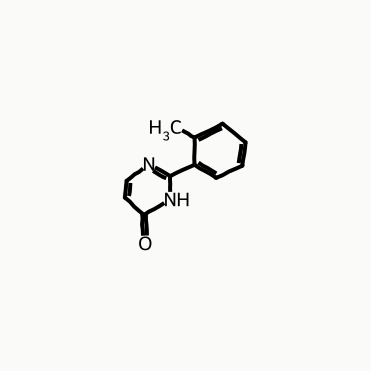 Cc1ccccc1-c1nccc(=O)[nH]1